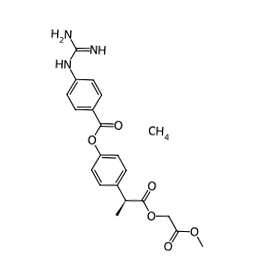 C.COC(=O)COC(=O)[C@@H](C)c1ccc(OC(=O)c2ccc(NC(=N)N)cc2)cc1